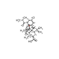 CC(C)C(=O)c1cc(Cl)nc(C[C@@]2(C(=O)O)C(C(C)(C)C)CN(C(=O)O)[C@H](C)C2C(C)(C)C)c1F